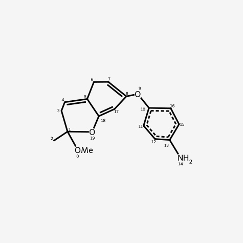 COC1(C)CC=C2CC=C(Oc3ccc(N)cc3)C=C2O1